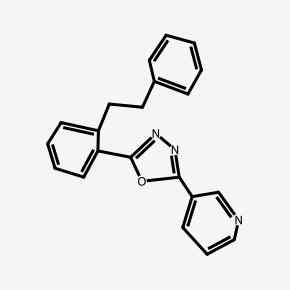 c1ccc(CCc2ccccc2-c2nnc(-c3cccnc3)o2)cc1